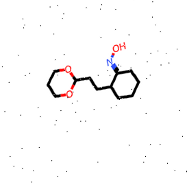 ON=C1CCCCC1CCC1OCCCO1